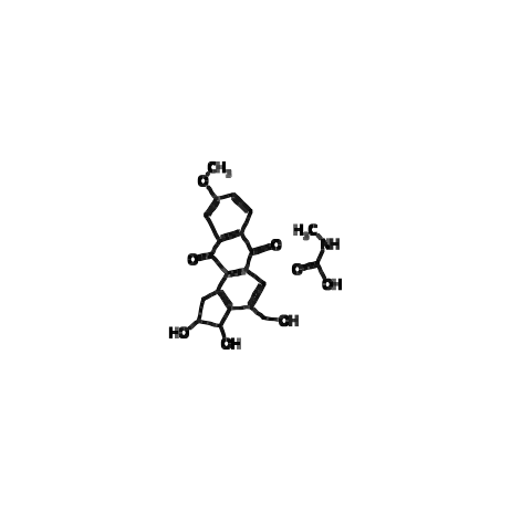 CNC(=O)O.COc1ccc2c(c1)C(=O)c1c(cc(CO)c3c1CC(O)C3O)C2=O